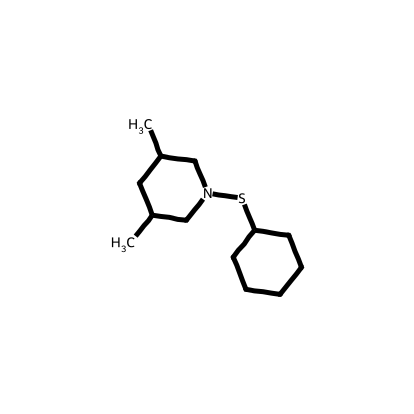 CC1CC(C)CN(SC2CCCCC2)C1